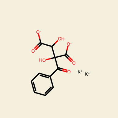 O=C([O-])C(O)C(O)(C(=O)[O-])C(=O)c1ccccc1.[K+].[K+]